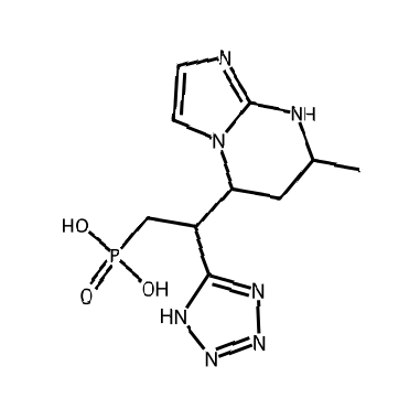 CC1CC(C(CP(=O)(O)O)c2nnn[nH]2)n2ccnc2N1